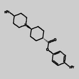 CCCc1ccc(OC(=O)[C@H]2CC[C@H](N3CCC(CCC)CC3)CC2)cc1